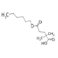 CCCCCCOC(=O)CCC(C)(C)C(=O)O